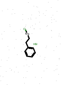 Br.[Cl][Mg][CH2]Cc1ccccc1